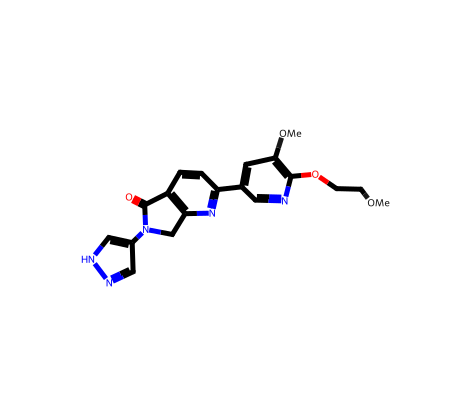 COCCOc1ncc(-c2ccc3c(n2)CN(c2cn[nH]c2)C3=O)cc1OC